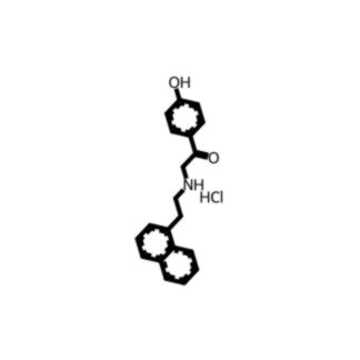 Cl.O=C(CNCCc1cccc2ccccc12)c1ccc(O)cc1